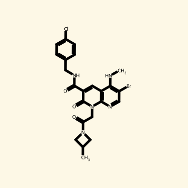 CNc1c(Br)cnc2c1cc(C(=O)NCc1ccc(Cl)cc1)c(=O)n2CC(=O)N1CC(C)C1